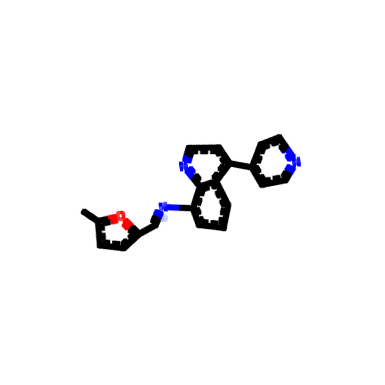 Cc1ccc(/C=N/c2cccc3c(-c4ccncc4)ccnc23)o1